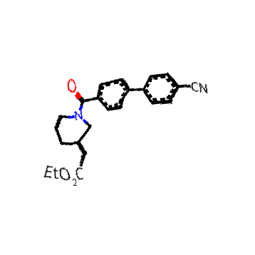 CCOC(=O)CC1CCCN(C(=O)c2ccc(-c3ccc(C#N)cc3)cc2)C1